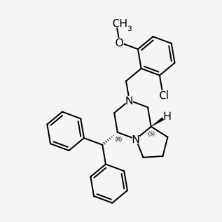 COc1cccc(Cl)c1CN1C[C@@H]2CCCN2[C@H](C(c2ccccc2)c2ccccc2)C1